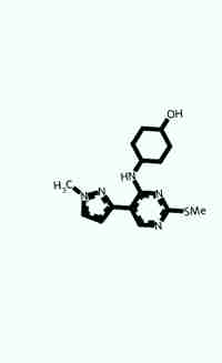 CSc1ncc(-c2ccn(C)n2)c(NC2CCC(O)CC2)n1